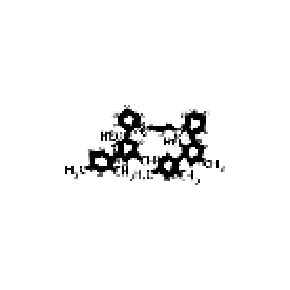 Cc1ccc(-c2cc(C)cc(-c3ccccc3OCCCOc3ccccc3-c3cc(C)cc(-c4ccc(C)cc4C)c3O)c2O)c(C)c1